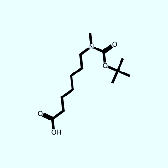 CN(CCCCCCC(=O)O)C(=O)OC(C)(C)C